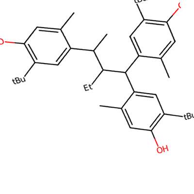 CCC(C(C)c1cc(C(C)(C)C)c(O)cc1C)C(c1cc(C(C)(C)C)c(O)cc1C)c1cc(C(C)(C)C)c(O)cc1C